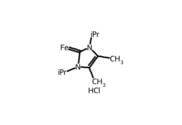 Cc1c(C)n(C(C)C)[c](=[Fe])n1C(C)C.Cl